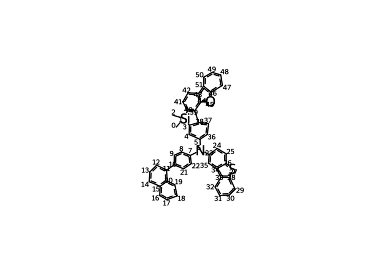 C[Si]1(C)c2cc(N(c3ccc(-c4cccc5ccccc45)cc3)c3ccc4sc5ccccc5c4c3)ccc2-c2c1ccc1c2oc2ccccc21